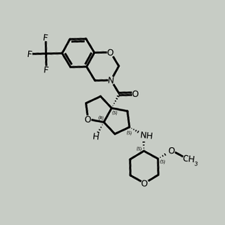 CO[C@@H]1COCC[C@@H]1N[C@@H]1C[C@H]2OCC[C@@]2(C(=O)N2COc3ccc(C(F)(F)F)cc3C2)C1